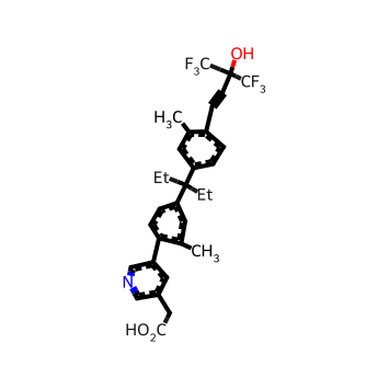 CCC(CC)(c1ccc(C#CC(O)(C(F)(F)F)C(F)(F)F)c(C)c1)c1ccc(-c2cncc(CC(=O)O)c2)c(C)c1